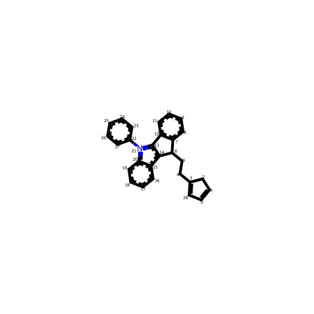 C1=CCC(CCC2c3ccccc3-c3c2c2ccccc2n3-c2ccccc2)=C1